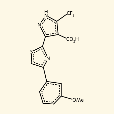 COc1cccc(-c2csc(-c3n[nH]c(C(F)(F)F)c3C(=O)O)n2)c1